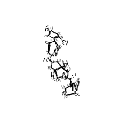 Fc1ccc(Cl)c(-c2ccc(NC3C[C@@H]4CN(Cc5cnccn5)C[C@@H]4C3)nn2)c1